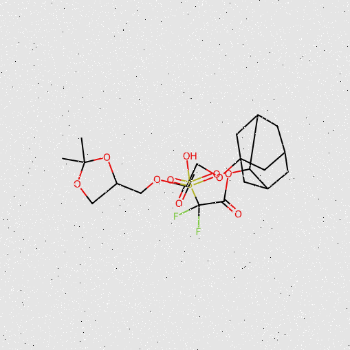 CC1(C)OCC(COC(=O)COC23CC4CC(C2)C(OC(=O)C(F)(F)S(=O)(=O)O)C(C4)C3)O1